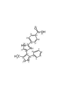 Cc1onc(-c2ccccc2)c1-c1c[nH]c(-c2ccc(C(=O)O)cc2)n1